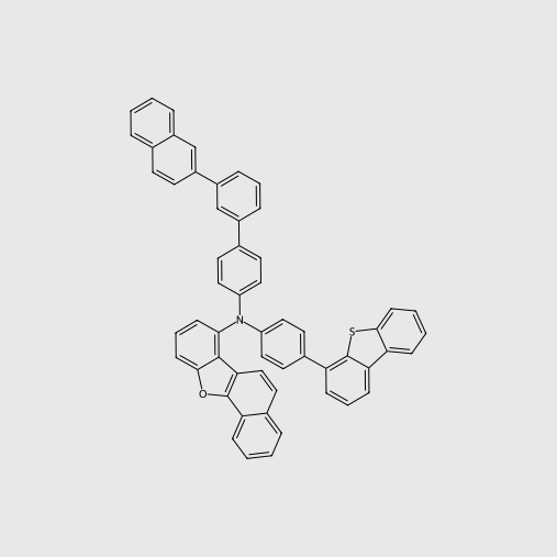 c1cc(-c2ccc(N(c3ccc(-c4cccc5c4sc4ccccc45)cc3)c3cccc4oc5c6ccccc6ccc5c34)cc2)cc(-c2ccc3ccccc3c2)c1